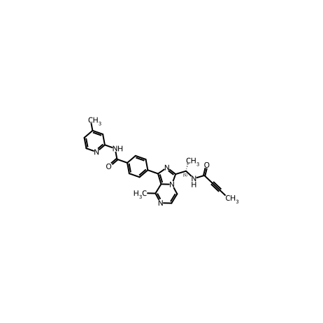 CC#CC(=O)N[C@@H](C)c1nc(-c2ccc(C(=O)Nc3cc(C)ccn3)cc2)c2c(C)nccn12